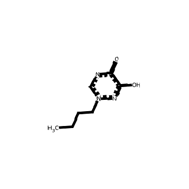 CCCCn1[c]nc(=O)c(O)n1